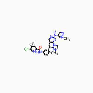 Cc1ccc(NC(=O)c2cc(C(F)(F)F)c(Cl)cn2)cc1C1=Cc2cnc(Nc3cnn(C)c3)nc2N2CCN=C12